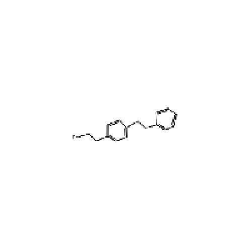 BrCCc1ccc(CCc2ccccc2)cc1